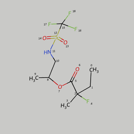 CCC(C)(F)C(=O)OC(C)CNS(=O)(=O)C(F)(F)F